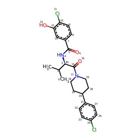 CC(C)[C@@H](NC(=O)c1ccc(Cl)c(O)c1)C(=O)N1CCC(c2ccc(Cl)cc2)CC1